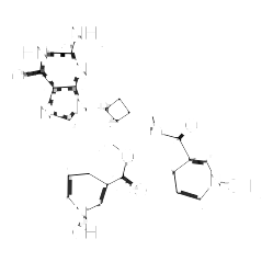 CN1C=CCC(C(=O)OC[C@H]2C[C@@H](n3cnc4c(=O)[nH]c(N)nc43)[C@H]2COC(=O)C2=CN(C)C=CC2)=C1